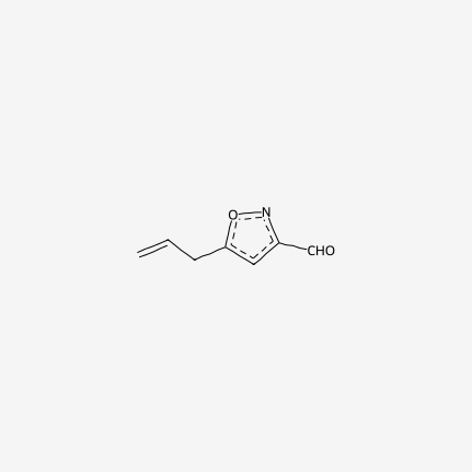 C=CCc1cc(C=O)no1